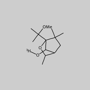 [3H]OC1C2CC(C)(C)C1(C(C)(C)OC)OC2C